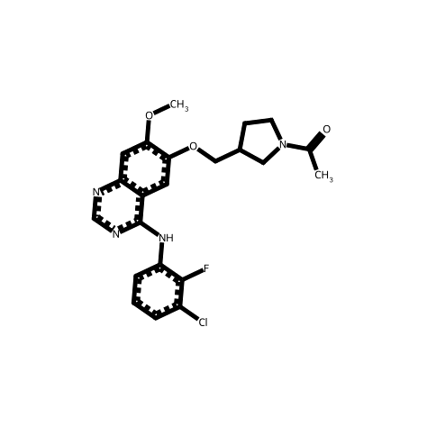 COc1cc2ncnc(Nc3cccc(Cl)c3F)c2cc1OCC1CCN(C(C)=O)C1